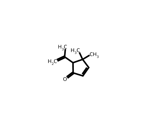 C=C(C)C1C(=O)C=CC1(C)C